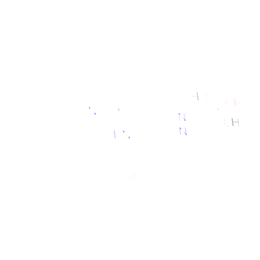 CC(C)(O)CCn1cc2cc(NC(=O)c3csc(-c4cccs4)n3)c(-c3ccoc3)cc2n1